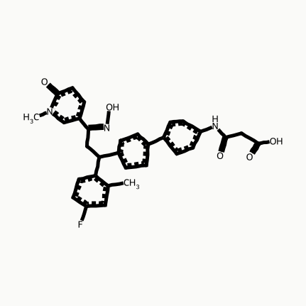 Cc1cc(F)ccc1C(CC(=NO)c1ccc(=O)n(C)c1)c1ccc(-c2ccc(NC(=O)CC(=O)O)cc2)cc1